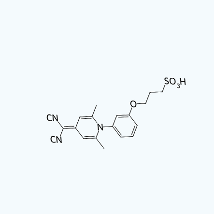 [C-]#[N+]C([N+]#[C-])=C1C=C(C)N(c2cccc(OCCCS(=O)(=O)O)c2)C(C)=C1